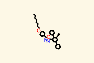 C#Cc1cc(-c2ccccc2)cc(-c2nnc(-c3ccc(OCCCCCCCC)cc3)o2)c1-c1ccccc1